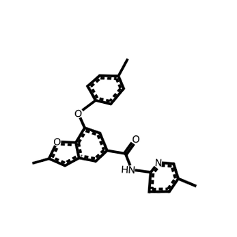 Cc1ccc(Oc2cc(C(=O)Nc3ccc(C)cn3)cc3cc(C)oc23)cc1